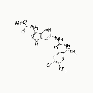 COC(=O)Nc1n[nH]c2cc(NC(=O)N[C@H](C)c3ccc(Cl)c(C(F)(F)F)c3)ncc12